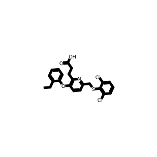 CCc1ccccc1Oc1ccc(CSc2c(Cl)cccc2Cl)nc1CCC(=O)O